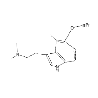 CCCOc1ccc2[nH]cc(CCN(C)C)c2c1C